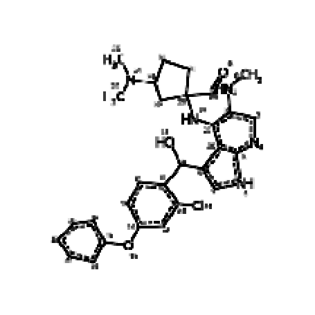 CNc1cnc2[nH]cc(C(O)c3ccc(Oc4ccccc4)cc3Cl)c2c1NC1(C=O)CCC(N(C)C)C1